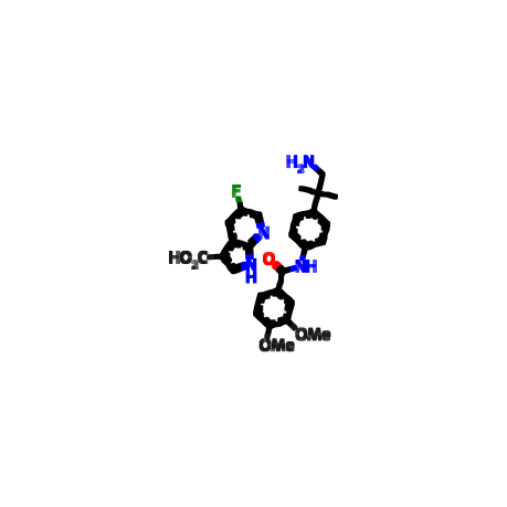 COc1ccc(C(=O)Nc2ccc(C(C)(C)CN)cc2)cc1OC.O=C(O)c1c[nH]c2ncc(F)cc12